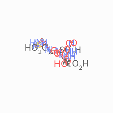 Cc1c(-c2ccc(N3CCc4cccc(C(=O)Nc5nc6ncccc6s5)c4C3)nc2C(=O)O)cnn1CC12CC3(C)CC(C)(C1)CC(OCCN(CCS(=O)(=O)O)C(=O)OC/C=C/c1ccc(O[C@H]4C[C@@H](O)C[C@@H](C(=O)O)O4)c(NC(=O)CCNC(=O)CCCCCN4C(=O)C=CC4=O)c1)(C3)C2